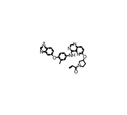 C=CC(=O)N1CCC(Oc2ccc3ncnc(Nc4ccc(Oc5ccc6c(c5)ncn6C)c(C)c4)c3n2)C1